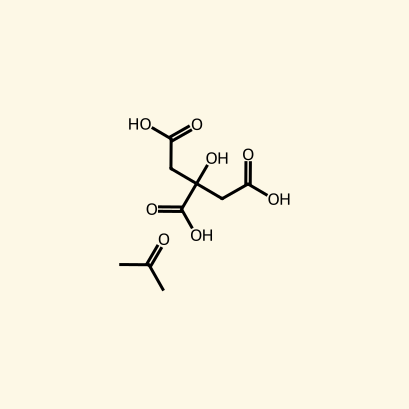 CC(C)=O.O=C(O)CC(O)(CC(=O)O)C(=O)O